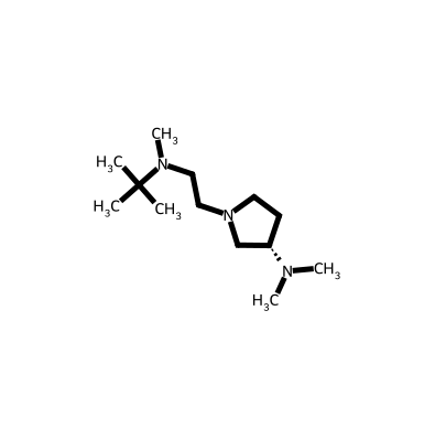 CN(C)[C@H]1CCN(CCN(C)C(C)(C)C)C1